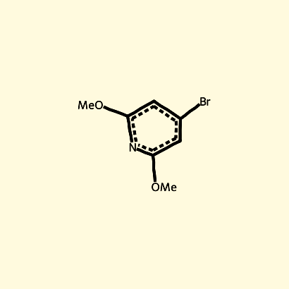 COc1cc(Br)cc(OC)n1